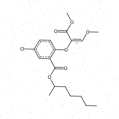 CCCCCC(C)OC(=O)c1cc(Cl)ccc1O/C(=C/OC)C(=O)OC